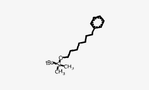 CC(C)(C)[Si](C)(C)OCCCCCCCc1ccccc1